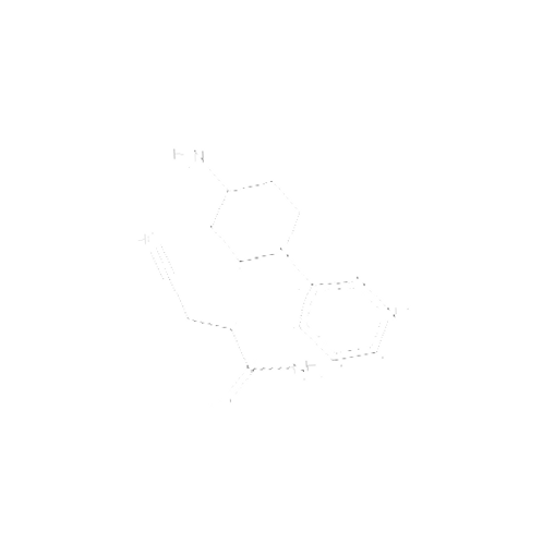 C#CCCC(N)=O.NC1CCN(c2cccnn2)CC1